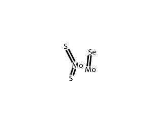 [S]=[Mo]=[S].[Se]=[Mo]